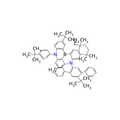 Cc1cc2c3c(c1)N(c1cc(-c4ccccc4)c(C(C)(C)C)cc1-c1ccccc1)c1cc4c(cc1B3c1cc(C(C)(C)C)ccc1N2c1ccc(C(C)(C)C)cc1)C(C)(C)CCC4(C)C